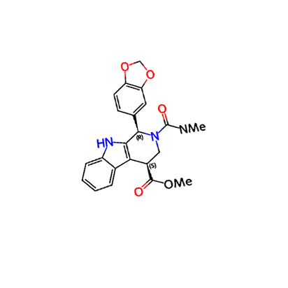 CNC(=O)N1C[C@@H](C(=O)OC)c2c([nH]c3ccccc23)[C@H]1c1ccc2c(c1)OCO2